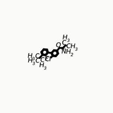 CC(C)[C@H](N)C(=O)c1ccc(Cl)c(-c2cccc(C(C)(C)C)c2F)c1